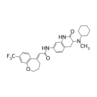 CN(C1CCCCC1)C1Cc2ccc(NC(=O)/C=C3\CCCOc4cc(C(F)(F)F)ccc43)cc2NC1=O